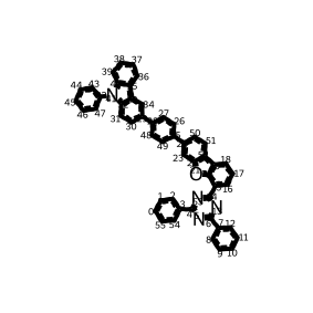 c1ccc(-c2nc(-c3ccccc3)nc(-c3cccc4c3oc3cc(-c5ccc(-c6ccc7c(c6)c6ccccc6n7-c6ccccc6)cc5)ccc34)n2)cc1